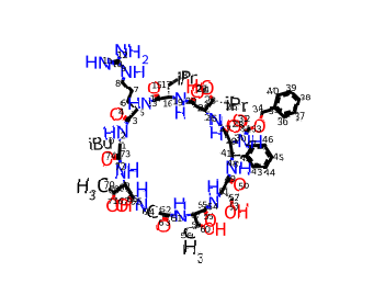 CC[C@H](C)[C@@H]1NC(=O)[C@@H](CCCNC(=N)N)NC(=O)[C@H](CC(C)C)NC(=O)[C@H]([C@H](O)C(C)C)NC(=O)[C@@H](NC(=O)OCc2ccccc2)[C@@H](c2ccccc2)NC(=O)[C@H](CO)NC(=O)C([C@@H](C)O)NC(=O)CNC(=O)[C@H]([C@H](C)O)NC1=O